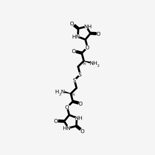 N[C@@H](CSSC[C@H](N)C(=O)OC1NC(=O)NC1=O)C(=O)OC1NC(=O)NC1=O